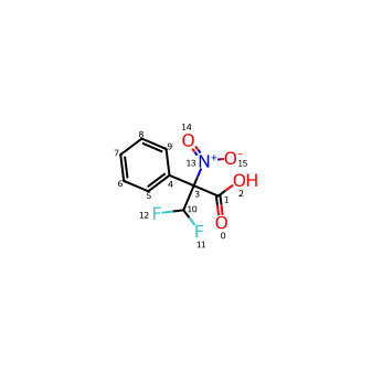 O=C(O)C(c1ccccc1)(C(F)F)[N+](=O)[O-]